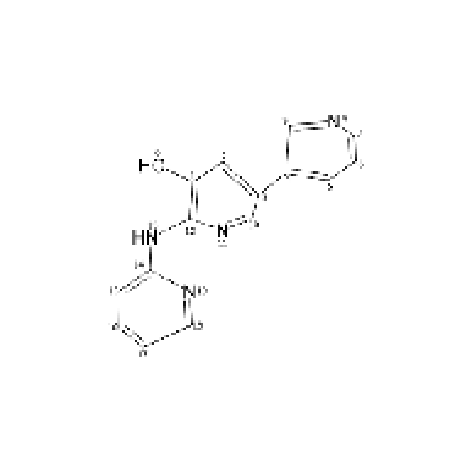 Oc1cc(-c2cccnc2)cnc1Nc1ccccn1